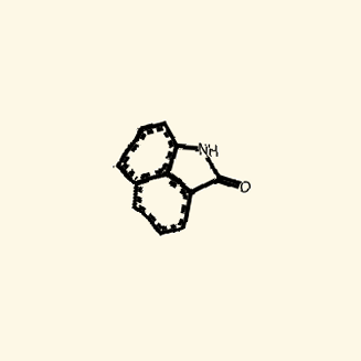 O=C1Nc2cc[c]c3cccc1c23